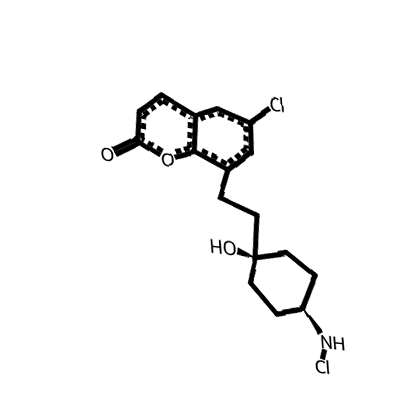 O=c1ccc2cc(Cl)cc(CC[C@]3(O)CC[C@@H](NCl)CC3)c2o1